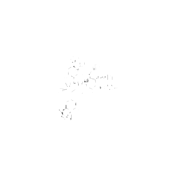 COc1cc(CC2=C(c3ccc4nsnc4c3)C(=O)OC2(O)c2ccc3c(c2)OCO3)cc(OC(C)C)c1OC(C)C